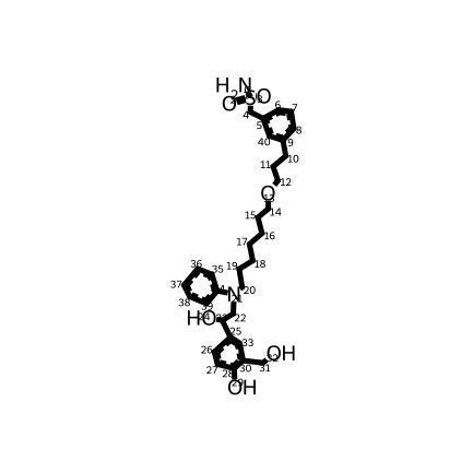 NS(=O)(=O)Cc1cccc(CCCOCCCCCCCN(CC(O)c2ccc(O)c(CO)c2)c2ccccc2)c1